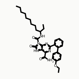 CCCCCCCCCC(CC)NC(=O)n1c(=O)[nH]c2c(C(N)=O)nc(-c3ccccc3-c3ccc(OCC)cc3)nc21